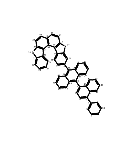 c1ccc(-c2ccc(-c3c4ccccc4c(-c4ccc5c(c4)sc4ccc6ccc7sc8ccccc8c7c6c45)c4ccccc34)c3ccccc23)cc1